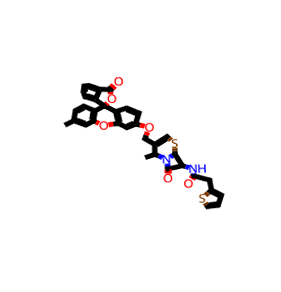 Cc1ccc2c(c1)Oc1cc(OCC3=CSC4C(NC(=O)Cc5cccs5)C(=O)N4C3C)ccc1C21OC(=O)c2ccccc21